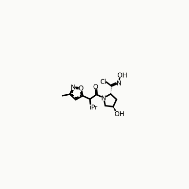 Cc1cc(C(C(=O)N2C[C@H](O)C[C@H]2C(Cl)=NO)C(C)C)on1